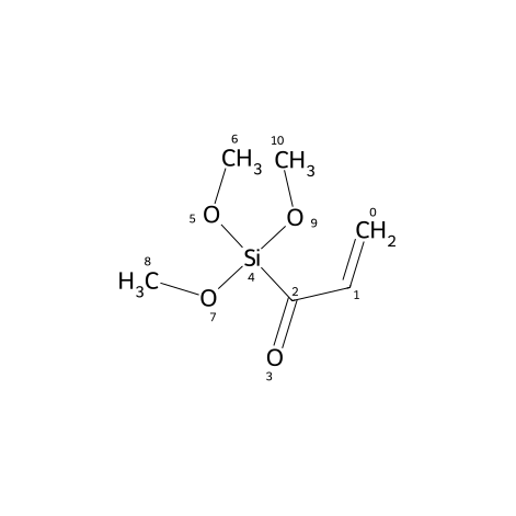 C=CC(=O)[Si](OC)(OC)OC